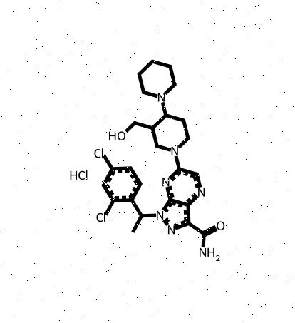 CC(c1ccc(Cl)cc1Cl)n1nc(C(N)=O)c2ncc(N3CCC(N4CCCCC4)C(CO)C3)nc21.Cl